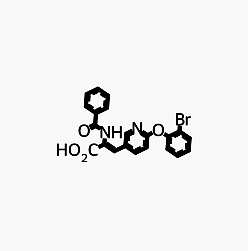 O=C(O)C(=Cc1ccc(Oc2ccccc2Br)nc1)NC(=O)c1ccccc1